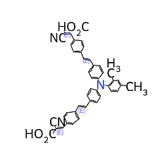 Cc1ccc(N(c2ccc(/C=C/c3ccc(/C=C(\C#N)C(=O)O)cc3)cc2)c2ccc(/C=C/c3ccc(/C=C(\C#N)C(=O)O)cc3)cc2)c(C)c1